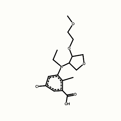 CCN(c1cc(Cl)cc(C(=O)O)c1C)C1COCC1OCCOC